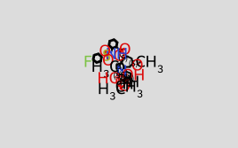 CO[C@H]1CC[C@]2(OC(=O)c3ccccc3NS(=O)(=O)c3ccc(F)cc3)C3CC4N([C@H]2C)C3(C1)C1C[C@@H]2[C@@H](OC)C[C@@]4(O)[C@@]1(O)[C@H]2OC